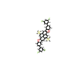 CS(C)(C)c1cc2c3oc4ccc(-c5cc(F)cc(F)c5)cc4c3cc3c(S(C)(C)C)cc4c5oc6ccc(-c7cc(F)cc(F)c7)cc6c5cc1c4c32